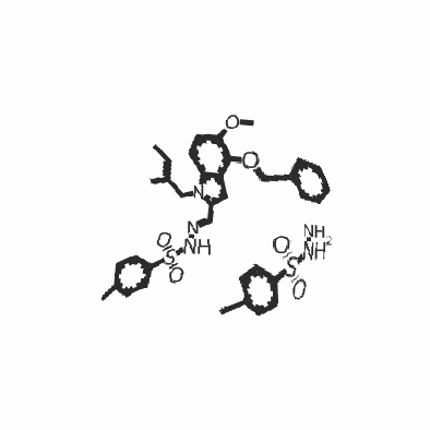 CC=C(C)Cn1c(C=NNS(=O)(=O)c2ccc(C)cc2)cc2c(OCc3ccccc3)c(OC)ccc21.Cc1ccc(S(=O)(=O)NN)cc1